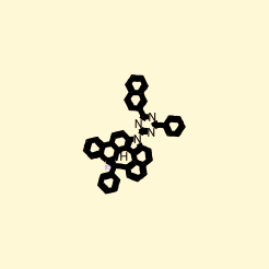 C1=CC2c3ccccc3/C3=C(\c4ccccc4)c4cccc5ccc6c(c(c1n6-c1nc(-c6ccccc6)nc(-c6ccc7ccccc7c6)n1)[C@@H]2C3)c45